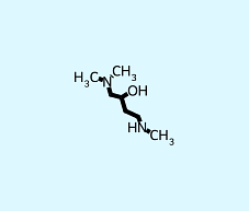 CNCCC(O)CN(C)C